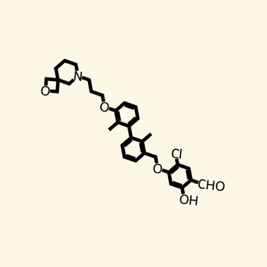 Cc1c(COc2cc(O)c(C=O)cc2Cl)cccc1-c1cccc(OCCCN2CCCC3(COC3)C2)c1C